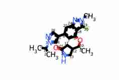 CC(C)n1cc(-c2cc(O[C@H](C)C3CNC(=O)C3)c3c(F)n(C)nc3c2)cn1